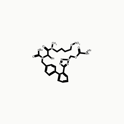 CCCCC(=O)N(Cc1ccc(-c2ccccc2-c2nnn(COC(=O)NCCC)n2)cc1)C(C(=O)N(C)CCCCO[N+](=O)[O-])C(C)C